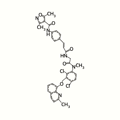 Cc1ccc2cccc(OCc3c(Cl)ccc(N(C)C(=O)CNC(=O)/C=C/c4ccc(NC(=O)c5c(C)noc5C)cc4)c3Cl)c2n1